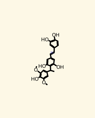 COc1cc(C(C)c2c(O)cc(/C=C/c3ccc(O)c(O)c3)cc2O)cc(OC)c1O